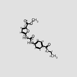 CCOC(=O)c1ccc(NC(=O)Nc2ccc(C(=O)OC)o2)cc1